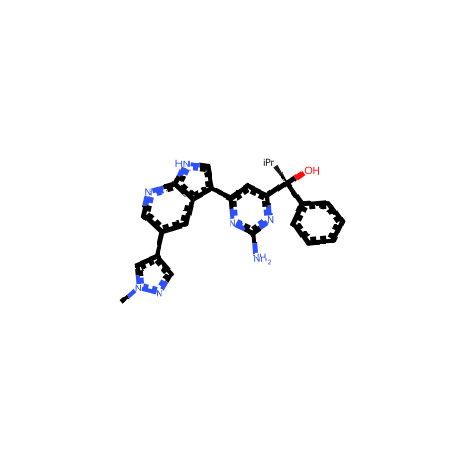 CC(C)[C@@](O)(c1ccccc1)c1cc(-c2c[nH]c3ncc(-c4cnn(C)c4)cc23)nc(N)n1